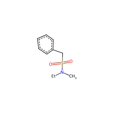 CCN(C)S(=O)(=O)Cc1ccccc1